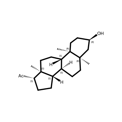 CC(=O)[C@H]1CC[C@H]2[C@@H]3CC[C@]4(C)C[C@H](O)CC[C@]4(C)[C@H]3CC[C@]12C